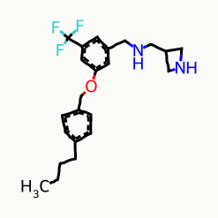 CCCCc1ccc(COc2cc(CNCC3CNC3)cc(C(F)(F)F)c2)cc1